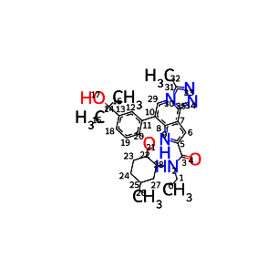 CCNC(=O)c1cc2c([nH]1)c(-c1cc(C(C)(C)O)ccc1OC1CCC(C)CC1)cn1c(C)nnc21